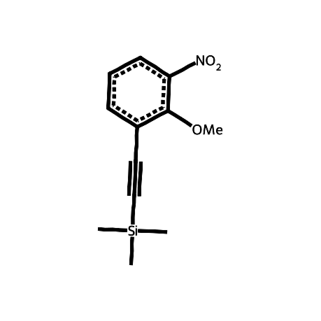 COc1c(C#C[Si](C)(C)C)cccc1[N+](=O)[O-]